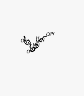 C=CC(=O)N1CCN(CCn2c(=O)ccc3cnc(NC4=CC(CCOC(C)C)N=C4)nc32)CC1